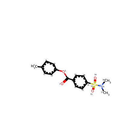 Cc1ccc(OC(=O)c2ccc(S(=O)(=O)N(C)C)cc2)cc1